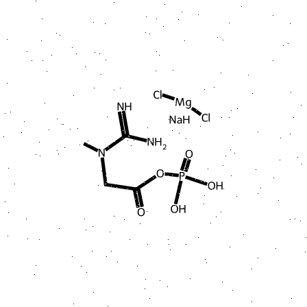 CN(CC(=O)OP(=O)(O)O)C(=N)N.[Cl][Mg][Cl].[NaH]